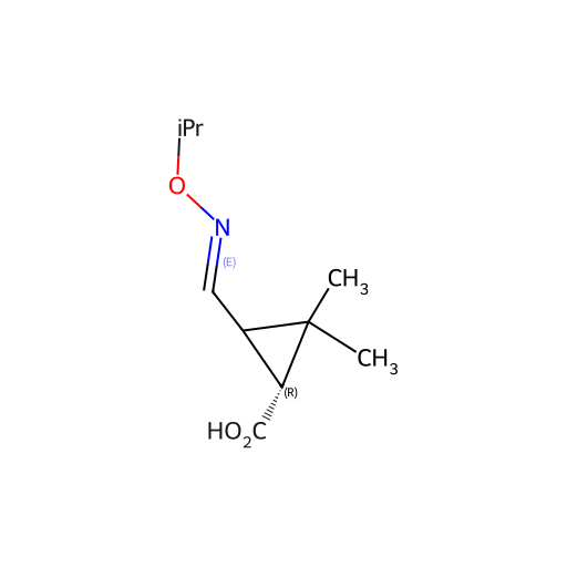 CC(C)O/N=C/C1[C@@H](C(=O)O)C1(C)C